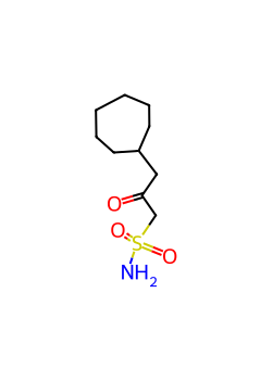 NS(=O)(=O)CC(=O)CC1CCCCCC1